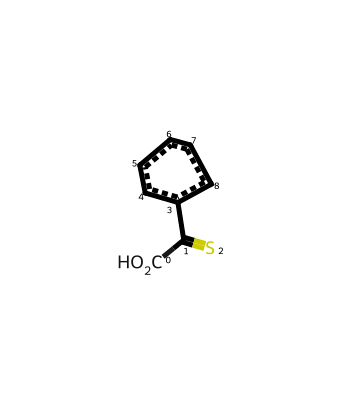 O=C(O)C(=S)c1ccccc1